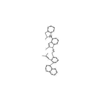 CC(C)=Cc1c(CSC2C(C)=Cc3c2cccc3N2c3ccccc3CC2C)cccc1-c1cccc2ccccc12